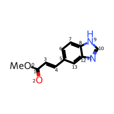 COC(=O)/C=C/c1ccc2[nH]cnc2c1